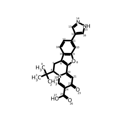 CC(C)(C)C1Cc2c(oc3cc(-c4cn[nH]c4)ccc23)-c2cc(=O)c(C(=O)O)cn21